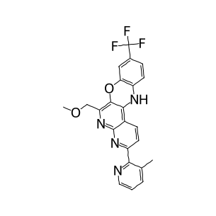 COCc1nc2nc(-c3ncccc3C)ccc2c2c1Oc1cc(C(F)(F)F)ccc1N2